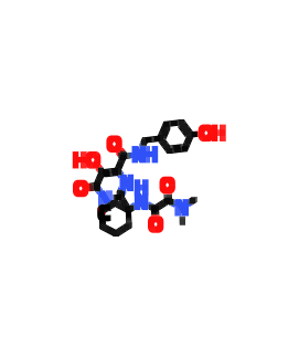 CN(C)C(=O)C(=O)NC12CCC(CC1)Cn1c2nc(C(=O)NCc2ccc(O)cc2)c(O)c1=O